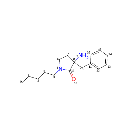 CCCCCN1CCC(N)(Cc2ccccc2)C1=O